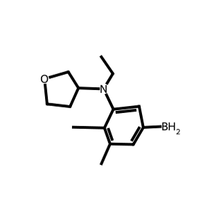 Bc1cc(C)c(C)c(N(CC)C2CCOC2)c1